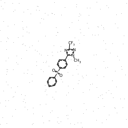 Cn1nc(C(F)(F)F)nc1-c1ccc(S(=O)(=O)c2ccccc2)cc1